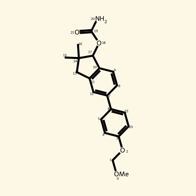 COCOc1ccc(-c2ccc3c(c2)CC(C)(C)C3OC(N)=O)cc1